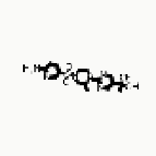 CC1CN(S(=O)(=O)c2ccc(N)nc2)CCN1c1ncc(C(C)(O)C(F)(F)F)cn1